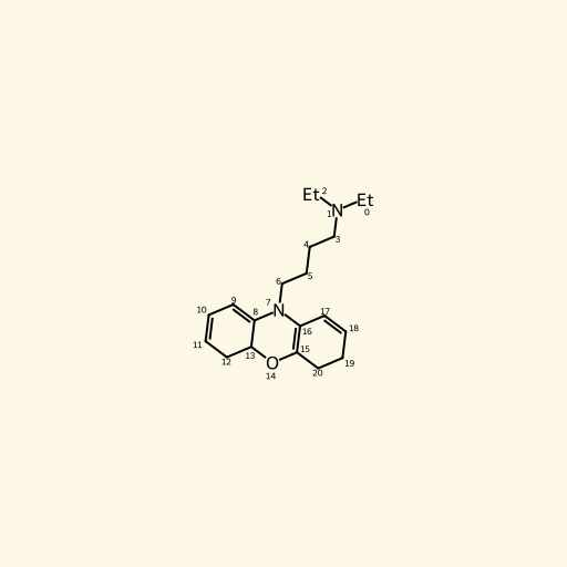 CCN(CC)CCCCN1C2=CC=CCC2OC2=C1C=CCC2